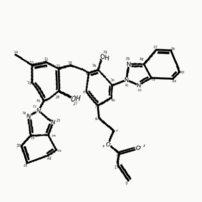 C=CC(=O)OCCc1cc(Cc2cc(C)cc(-n3nc4ccccc4n3)c2O)c(O)c(-n2nc3ccccc3n2)c1